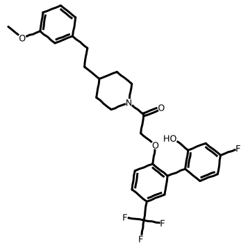 COc1cccc(CCC2CCN(C(=O)COc3ccc(C(F)(F)F)cc3-c3ccc(F)cc3O)CC2)c1